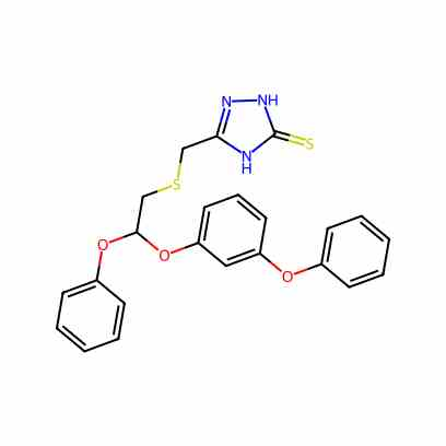 S=c1[nH]nc(CSCC(Oc2ccccc2)Oc2cccc(Oc3ccccc3)c2)[nH]1